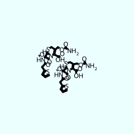 CO[C@@]1(NC(=O)Cc2cccs2)C(=O)N2C(C(=O)O)=C(COC(N)=O)CS[C@@H]21.CO[C@@]1(NC(=O)Cc2cccs2)C(=O)N2C(C(=O)O)=C(COC(N)=O)CS[C@@H]21